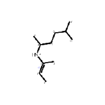 C/C=C(\C)NC(C)CCC(C)C